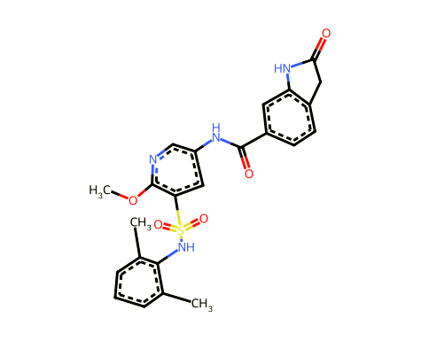 COc1ncc(NC(=O)c2ccc3c(c2)NC(=O)C3)cc1S(=O)(=O)Nc1c(C)cccc1C